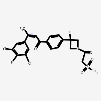 CS(=O)(=O)CC(=O)N1CC(F)(c2ccc(C(=O)/C=C(\c3cc(Cl)c(F)c(Cl)c3)C(F)(F)F)cc2)C1